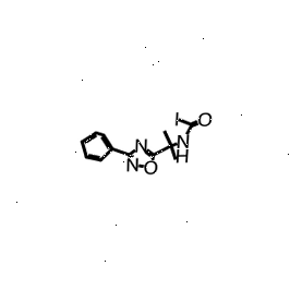 CC(C)(NC(=O)I)c1nc(-c2ccccc2)no1